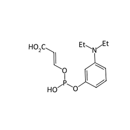 CCN(CC)c1cccc(OP(O)OC=CC(=O)O)c1